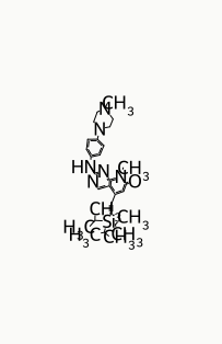 CC(C)[Si](C#Cc1cc(=O)n(C)c2nc(Nc3ccc(N4CCN(C)CC4)cc3)ncc12)(C(C)C)C(C)C